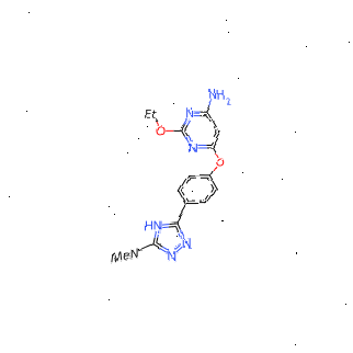 CCOc1nc(N)cc(Oc2ccc(-c3nnc(NC)[nH]3)cc2)n1